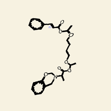 CC(OCCCCOC(C)OC(=O)C(C)N1COc2ccccc2C1)OC(=O)/C=C/c1ccccc1